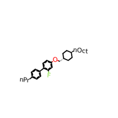 CCCCCCCC[C@H]1CC[C@H](COc2ccc(-c3ccc(CCC)cc3)c(F)c2)CC1